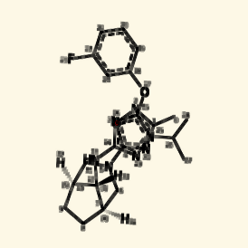 Cc1noc(N2C[C@H]3CC[C@@H](C2)[C@@H]3Nc2nc(Oc3cccc(F)c3)n(C(C)C)n2)n1